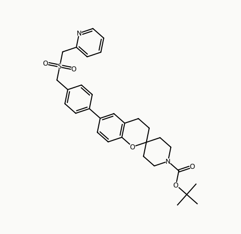 CC(C)(C)OC(=O)N1CCC2(CCc3cc(-c4ccc(CS(=O)(=O)Cc5ccccn5)cc4)ccc3O2)CC1